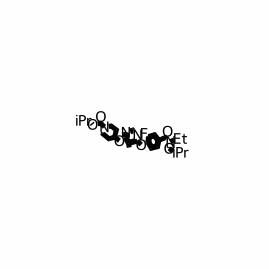 CCN(OC(C)C)C(=O)c1ccc(Oc2ncnc(OC3CCN(C(=O)OC(C)C)CC3)c2C)c(F)c1